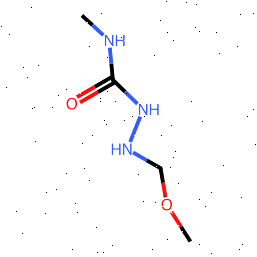 CNC(=O)NNCOC